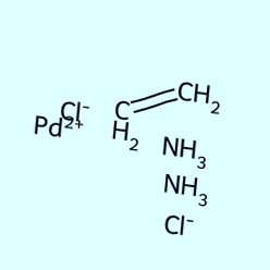 C=C.N.N.[Cl-].[Cl-].[Pd+2]